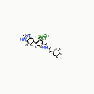 Cl.Cl.Fc1cc(CNCCC2CCCCC2)ccc1-c1ccc2[nH]cnc2c1